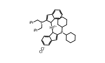 CC(C)CP(CC(C)C)C1=Cc2ccccc2[CH]1[Hf+2][CH]1C(P(C2CCCCC2)C2CCCCC2)=Cc2ccccc21.[Cl-].[Cl-]